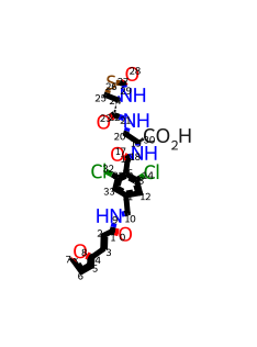 O=C(/C=C/c1ccco1)NCc1cc(Cl)c(C(=O)N[C@@H](CNC(=O)[C@@H]2CSC(=O)N2)C(=O)O)c(Cl)c1